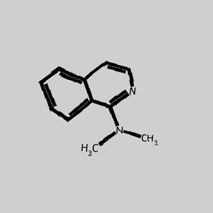 CN(C)c1nc[c]c2ccccc12